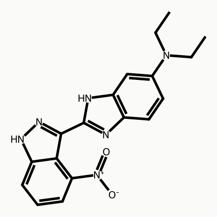 CCN(CC)c1ccc2nc(-c3n[nH]c4cccc([N+](=O)[O-])c34)[nH]c2c1